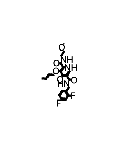 CCCCOc1c(C(=O)NCCOC)[nH]cc(C(=O)NCc2ccc(F)cc2F)c1=O